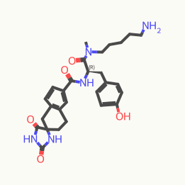 CN(CCCCCN)C(=O)[C@@H](Cc1ccc(O)cc1)NC(=O)c1ccc2c(c1)CCC1(C2)NC(=O)NC1=O